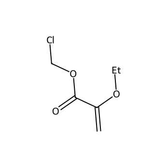 C=C(OCC)C(=O)OCCl